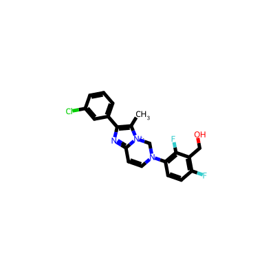 CC1=C(c2cccc(Cl)c2)N=C2C=CN(c3ccc(F)c(CO)c3F)C[N+]21